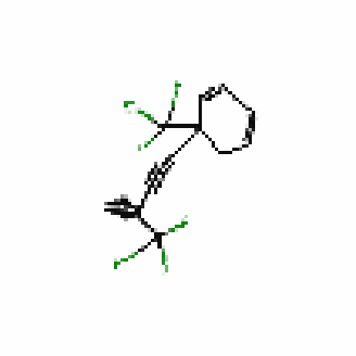 C=C(C#CC1(C(F)(F)F)C=CC=CC1)C(F)(F)F